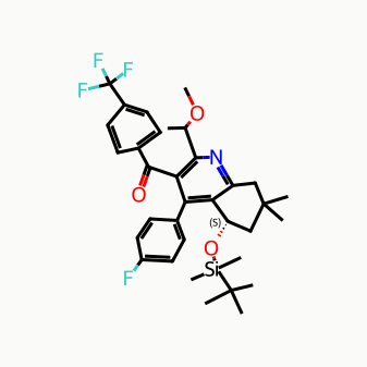 COC(C)c1nc2c(c(-c3ccc(F)cc3)c1C(=O)c1ccc(C(F)(F)F)cc1)[C@@H](O[Si](C)(C)C(C)(C)C)CC(C)(C)C2